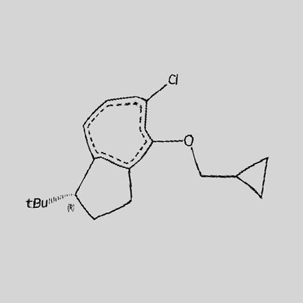 CC(C)(C)[C@H]1CCc2c1ccc(Cl)c2OCC1CC1